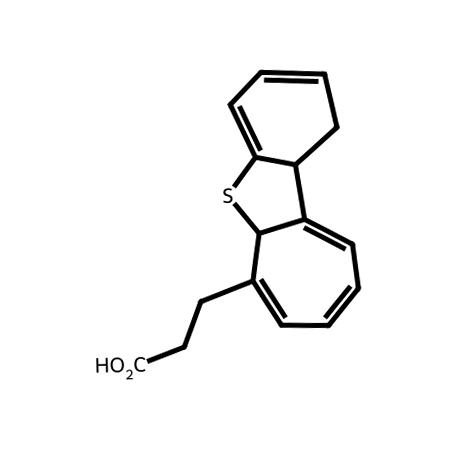 O=C(O)CCC1=CC=CC=C2C3CC=CC=C3SC12